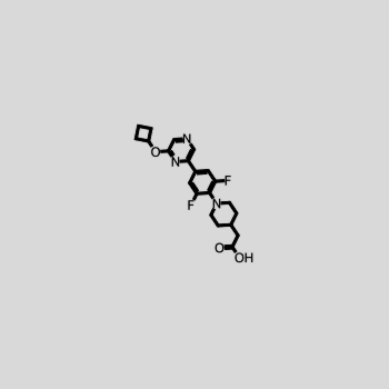 O=C(O)CC1CCN(c2c(F)cc(-c3cncc(OC4CCC4)n3)cc2F)CC1